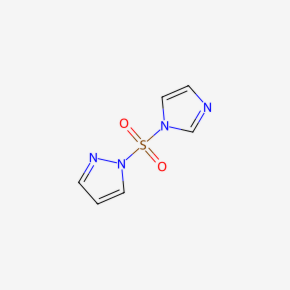 O=S(=O)(n1ccnc1)n1cccn1